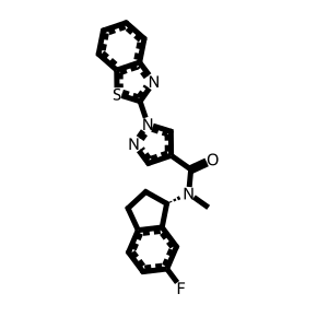 CN(C(=O)c1cnn(-c2nc3ccccc3s2)c1)[C@H]1CCc2ccc(F)cc21